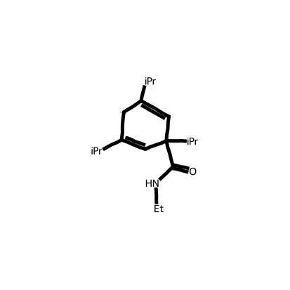 CCNC(=O)C1(C(C)C)C=C(C(C)C)[CH]C(C(C)C)=C1